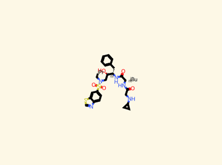 CC[C@H](C)C(NC(=O)CNC1CC1)C(=O)N[C@@H](Cc1ccccc1)[C@H](O)CN(CC(C)C)S(=O)(=O)c1ccc2ncsc2c1